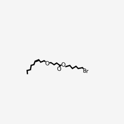 CCCCC/C=C\CCOCCCC(=O)OCCCCCCBr